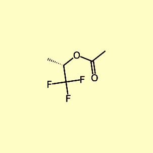 CC(=O)O[C@@H](C)C(F)(F)F